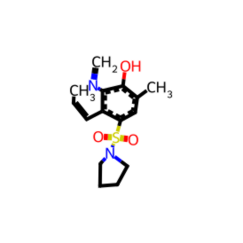 C=Nc1c(O)c(C)cc(S(=O)(=O)N2CCCC2)c1/C=C\C